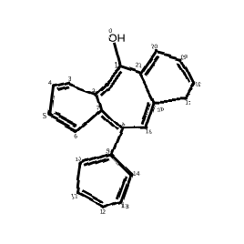 OC1=c2ccccc2=C(c2ccccc2)C=C2CC=CC=C21